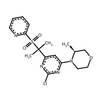 C[C@H]1COCCN1c1cc(C(C)(C)S(=O)(=O)c2ccccn2)nc(Cl)n1